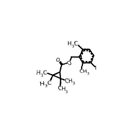 Cc1ccc(I)c(C)c1COC(=O)C1C(C)(C)C1(C)C